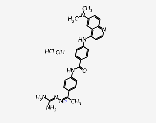 C/C(=N/N=C(N)N)c1ccc(NC(=O)c2ccc(Nc3ccnc4ccc(N(C)C)cc34)cc2)cc1.Cl.Cl